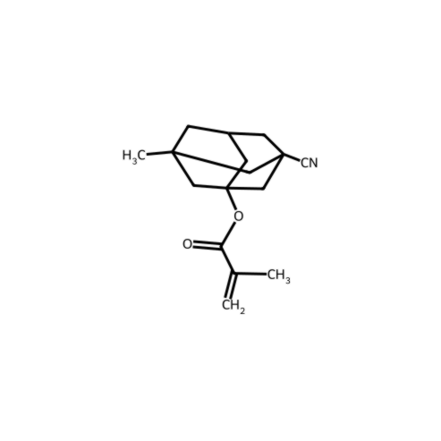 C=C(C)C(=O)OC12CC3CC(C)(CC(C#N)(C3)C1)C2